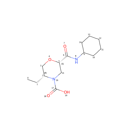 CC[C@@H]1CO[C@H](C(=O)NC2CCCCC2)CN1C(=O)O